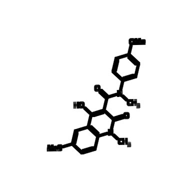 COc1ccc(N(C)C(=O)c2c(O)c3cc(SC)ccc3n(C)c2=O)cc1